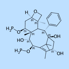 CC1=C2[C@@H](OP)[C@H](O)[C@@]3(C)C([C@H](c4ccccc4)[C@](O)(C[C@@H]1O)C2(C)C)[C@]1(C)CO[C@@H]1C[C@@H]3OP